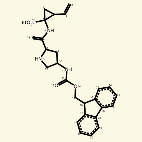 C=CC1CC1(NC(=O)C1CC(NC(=O)OCC2c3ccccc3-c3ccccc32)CN1)C(=O)OCC